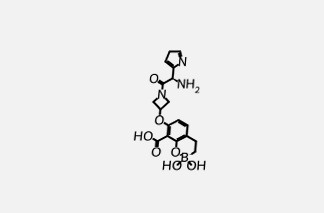 N[C@@H](C(=O)N1CC(Oc2ccc3c(c2C(=O)O)O[B-](O)(O)CC3)C1)C1=CCC=N1